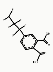 O=C(O)c1ccc(C(F)(F)C(F)(F)C(F)F)cc1C(=O)O